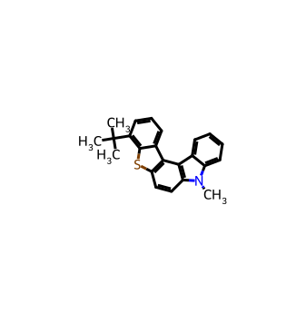 Cn1c2ccccc2c2c3c(ccc21)sc1c(C(C)(C)C)cccc13